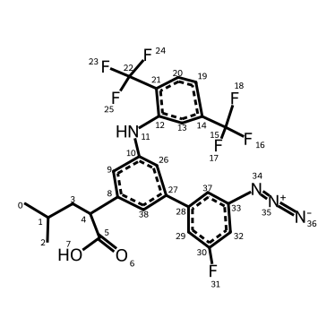 CC(C)CC(C(=O)O)c1cc(Nc2cc(C(F)(F)F)ccc2C(F)(F)F)cc(-c2cc(F)cc(N=[N+]=[N-])c2)c1